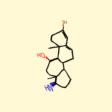 CC12C[C@@H](O)C3C(CC=C4C=C(S)CCC43C)C1CCC2=N